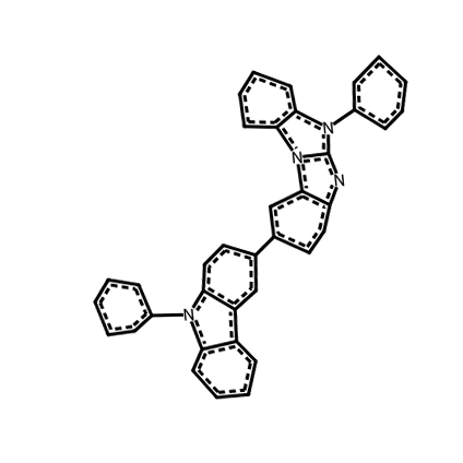 c1ccc(-n2c3ccccc3c3cc(-c4ccc5nc6n(-c7ccccc7)c7ccccc7n6c5c4)ccc32)cc1